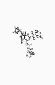 CC(C)S(=O)(=O)c1cc(OCCCS(C)(=O)=O)c2[nH]nc(Nc3nccs3)c2c1